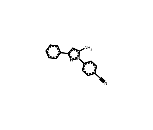 N#Cc1ccc(-n2nc(-c3ccccc3)cc2N)cc1